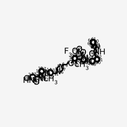 Cc1c(OCCCN2CCN(CC3CCN(c4cccc5c(C6CCC(=O)NC6=O)nn(C)c45)CC3)CC2)cccc1-c1ccc(N2CCc3cccc(C(=O)Nc4nc5ccccc5s4)c3C2)nc1C(=O)OC(=O)C(F)(F)F